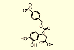 O=C(O)CN(C(=O)OCc1ccc([N+](=O)[O-])cc1)c1ccc(O)c(O)c1